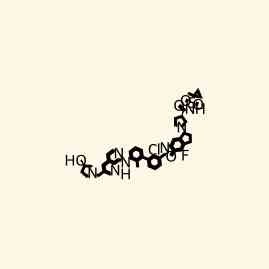 Cc1c(Nc2nccc3cc(CN4CC[C@@H](O)C4)cnc23)cccc1-c1cccc(-c2nc3cc4c(c(F)c3o2)CC[C@H]4N2CC[C@@H](C(=O)NS(=O)(=O)C3(C)CC3)C2)c1Cl